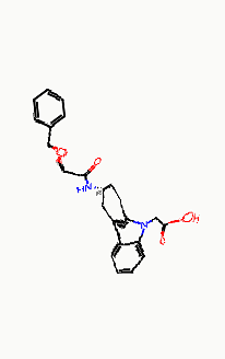 O=C(O)Cn1c2c(c3ccccc31)C[C@H](NC(=O)COCc1ccccc1)CC2